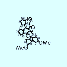 COc1ccc(C2(c3ccc(OC)cc3)C=Cc3c(C(=O)CCO)c(-c4ccccc4)c4ccccc4c3O2)cc1